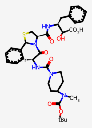 CC(C)[C@H](NC(=O)N1CCC(N(C)C(=O)OC(C)(C)C)CC1)C(=O)N1C(c2ccccc2)SC[C@H]1C(=O)N[C@@H](Cc1ccccc1)C(O)C(=O)O